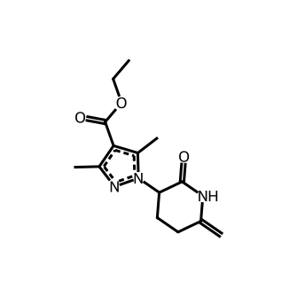 C=C1CCC(n2nc(C)c(C(=O)OCC)c2C)C(=O)N1